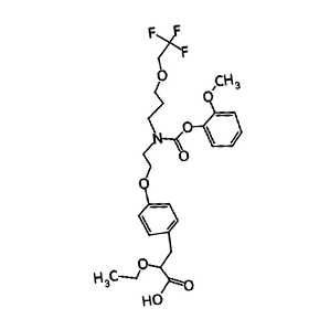 CCOC(Cc1ccc(OCCN(CCCOCC(F)(F)F)C(=O)Oc2ccccc2OC)cc1)C(=O)O